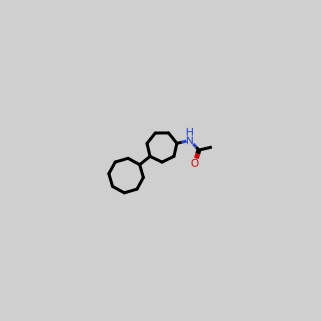 CC(=O)NC1CCCC(C2CCCCCCC2)CC1